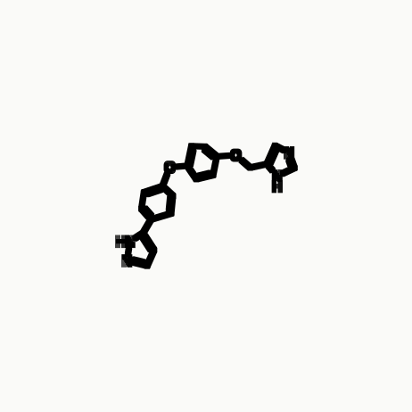 c1cc(-c2ccc(Oc3ccc(OCc4cnc[nH]4)cc3)cc2)[nH]n1